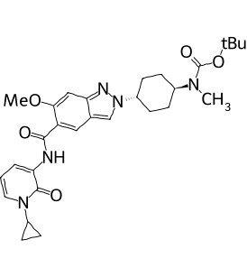 COc1cc2nn([C@H]3CC[C@H](N(C)C(=O)OC(C)(C)C)CC3)cc2cc1C(=O)Nc1cccn(C2CC2)c1=O